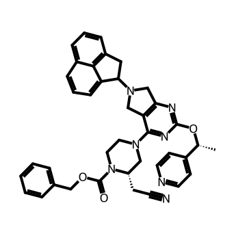 C[C@@H](Oc1nc2c(c(N3CCN(C(=O)OCc4ccccc4)[C@@H](CC#N)C3)n1)CN(C1Cc3cccc4cccc1c34)C2)c1ccncc1